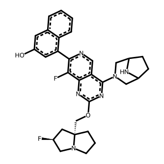 Oc1cc(-c2ncc3c(N4CC5CCC(C4)N5)nc(OC[C@]45CCCN4C[C@@H](F)C5)nc3c2F)c2ccccc2c1